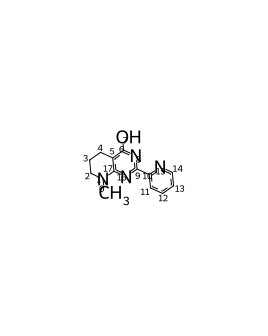 CN1CCCc2c(O)nc(-c3ccccn3)nc21